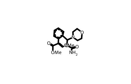 CO/C=C(/C(=O)OC)c1ccccc1C(OC(N)=O)N1CCOCC1